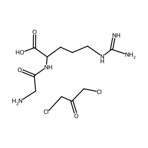 N=C(N)NCCCC(NC(=O)CN)C(=O)O.O=C(CCl)CCl